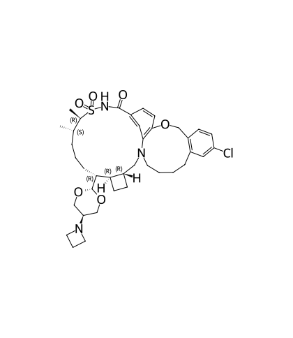 C[C@@H]1[C@@H](C)CCC[C@@H]([C@H]2OC[C@H](N3CCC3)CO2)[C@@H]2CC[C@H]2CN2CCCCc3cc(Cl)ccc3COc3ccc(cc32)C(=O)NS1(=O)=O